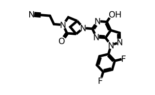 N#CCCN1CC2CC(C1=O)N2c1nc(O)c2cnn(-c3ccc(F)cc3F)c2n1